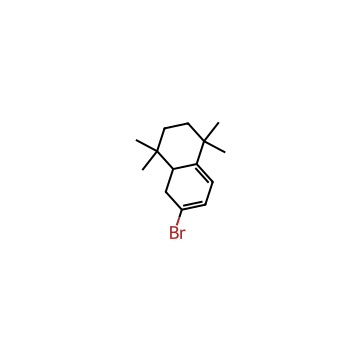 CC1(C)CCC(C)(C)C2CC(Br)=CC=C21